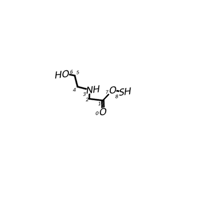 O=C(CNCCO)OS